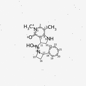 Cc1cn(C)c(=O)c2c1NCC2N(O)N1CCC1c1ccccc1